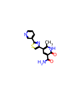 Cc1[nH]c(=O)c(C(N)=O)cc1-c1csc(-c2cccnc2)n1